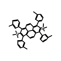 Cc1cccc(-c2c([Si](C)(C)C)c(-c3cccc(C)c3)c3ccc4c(-c5cccc(C)c5)c([Si](C)(C)C)c(-c5cccc(C)c5)c5ccc2c3c54)c1